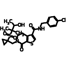 CC(O)C(C)(C)S(=O)(=O)C1(CN2CCc3c(C(=O)NCc4ccc(Cl)cc4)csc3C2=O)CC1